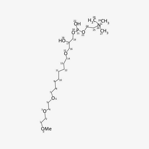 COCCOCCOCCCCCCCCOCC(O)COP(O)OCC[N+](C)(C)C